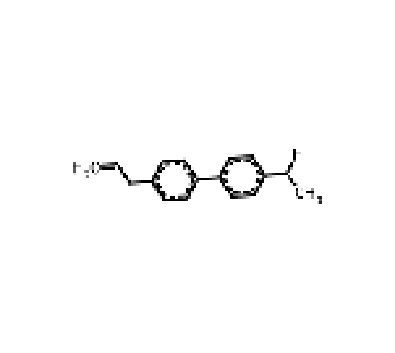 C=CCc1ccc(-c2ccc([C@H](C)F)cc2)cc1